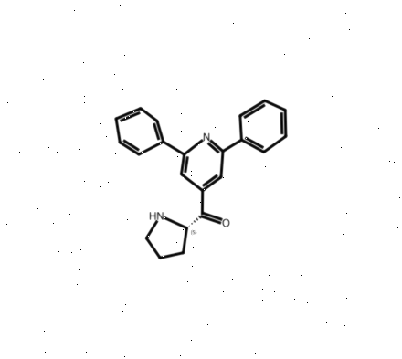 O=C(c1cc(-c2ccccc2)nc(-c2ccccc2)c1)[C@@H]1CCCN1